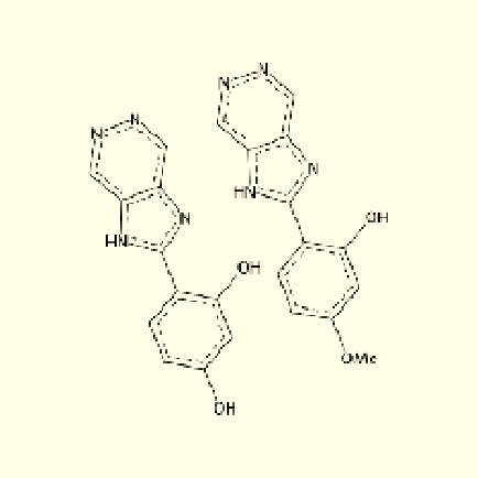 COc1ccc(-c2nc3cnncc3[nH]2)c(O)c1.Oc1ccc(-c2nc3cnncc3[nH]2)c(O)c1